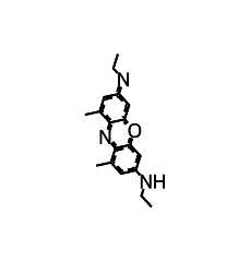 CC/N=c1/cc2oc3cc(NCC)cc(C)c3nc-2c(C)c1